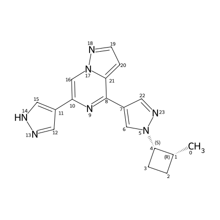 C[C@@H]1CC[C@@H]1n1cc(-c2nc(-c3cn[nH]c3)cn3nccc23)cn1